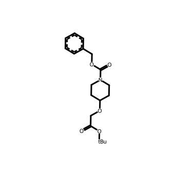 CC(C)(C)OC(=O)COC1CCN(C(=O)OCc2ccccc2)CC1